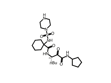 CCCC[C@H](NC(=O)C1(NS(=O)(=O)N2CCNCC2)CCCCC1)C(=O)C(=O)NC1CCCC1